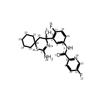 CC1(c2cc(NC(=O)c3ccc(F)cn3)ccc2F)CC2(CCCCC2)SC(N)=N1